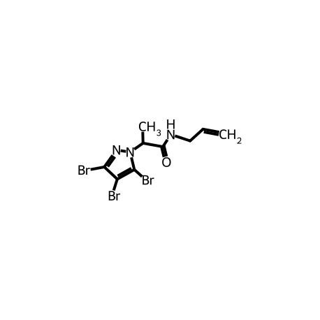 C=CCNC(=O)C(C)n1nc(Br)c(Br)c1Br